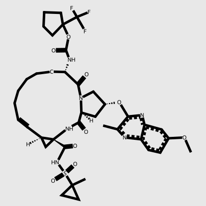 COc1ccc2nc(C)c(O[C@@H]3C[C@H]4C(=O)N[C@]5(C(=O)NS(=O)(=O)C6(C)CC6)C[C@H]5/C=C\CCCCC[C@H](NC(=O)OC5(C(F)(F)F)CCCC5)C(=O)N4C3)nc2c1